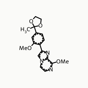 COc1cc(C2(C)OCCO2)ccc1-c1cn2ccnc(OC)c2n1